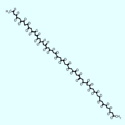 CC(=O)CC(=O)C(=O)CC(=O)C(=O)CC(=O)C(=O)CC(=O)C(=O)CC(=O)C(=O)CC(=O)C(=O)CC(=O)C(=O)CC(=O)C(=O)CC(=O)C(=O)CC(=O)C(=O)CC(=O)C(=O)CC(=O)C(=O)CC(=O)C(=O)CC(=O)C(=O)CC(=O)C(=O)CC(=O)C(=O)CC(=O)C(=O)CC(=O)C(=O)CC(=O)C(=O)CC(C)=O